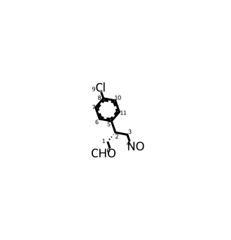 O=CC[C@@H](CN=O)c1ccc(Cl)cc1